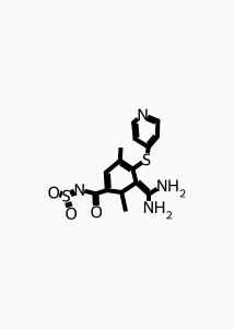 CC1=C(Sc2ccncc2)C(=C(N)N)C(C)C(C(=O)N=S(=O)=O)=C1